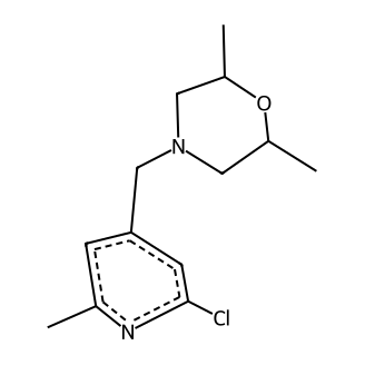 Cc1cc(CN2CC(C)OC(C)C2)cc(Cl)n1